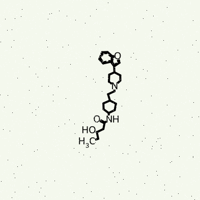 CC[C@@H](O)CC(=O)NC1CCC(CCN2CCC(c3coc4ccccc34)CC2)CC1